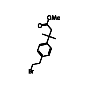 COC(=O)CC(C)(C)c1ccc(CCBr)cc1